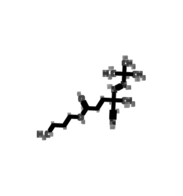 CCCCOC(=O)CCC(C)(C#N)N=NC(C)(C)C